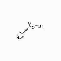 CCOC(=O)C#Cc1ccncc1